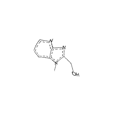 Cn1c(CO)nc2ncccc21